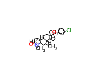 CC1CC2N(C)C(=O)CC[C@]2(C)[C@@H]2CC[C@]3(C)C(Oc4ccc(Cl)cc4)CC[C@H]3[C@H]12